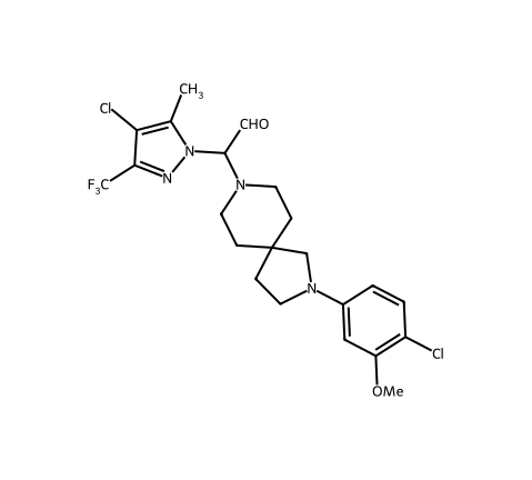 COc1cc(N2CCC3(CCN(C(C=O)n4nc(C(F)(F)F)c(Cl)c4C)CC3)C2)ccc1Cl